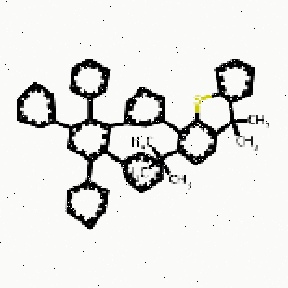 CC(C)(C)c1ccc2c(c1-c1cccc(-c3c(-c4ccccc4)c(-c4ccccc4)cc(-c4ccccc4)c3-c3ccccc3)c1)Sc1ccccc1C2(C)C